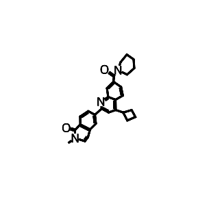 Cn1ccc2cc(-c3cc(C4CCC4)c4ccc(C(=O)N5CCCCC5)cc4n3)ccc2c1=O